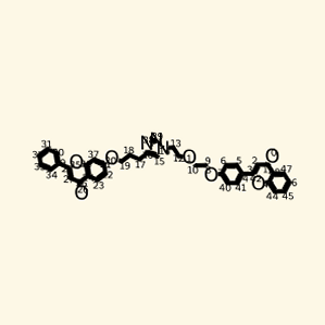 O=c1cc(-c2ccc(OCCOCCn3cc(CCCOc4ccc5c(=O)cc(-c6ccccc6)oc5c4)nn3)cc2)oc2ccccc12